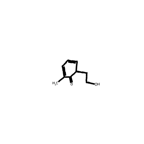 CC1=CC=CC(CCO)C1=O